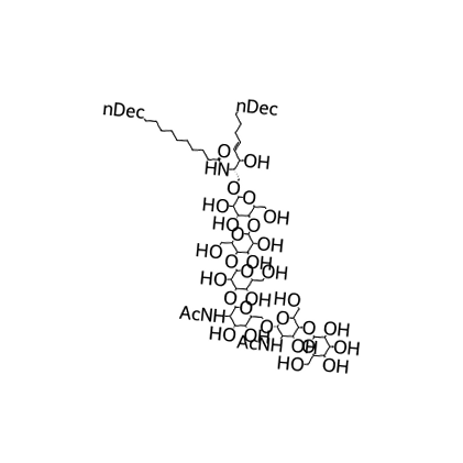 CCCCCCCCCCCCC/C=C/[C@@H](O)[C@H](CO[C@@H]1OC(CO)[C@@H](O[C@@H]2OC(CO)[C@H](O[C@@H]3OC(CO)[C@H](O)[C@H](O[C@@H]4OC(CO[C@@H]5OC(CO)[C@@H](O[C@@H]6OC(CO)[C@H](O)[C@H](O)C6O)[C@H](O)C5NC(C)=O)[C@H](O)[C@H](O)C4NC(C)=O)C3O)[C@H](O)C2O)[C@H](O)C1O)NC(=O)CCCCCCCCCCCCCCCCCCC